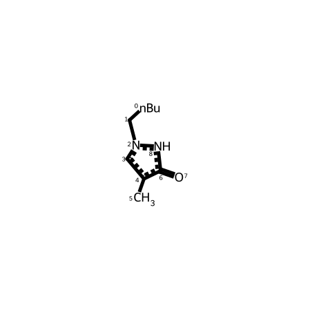 CCCCCn1cc(C)c(=O)[nH]1